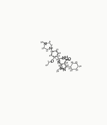 CCOc1cc(N2CCN(C)CC2)ccc1-c1nc2c(c(C3CCCCC3)nn2C)c(=O)[nH]1